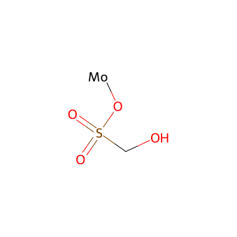 O=S(=O)(CO)[O][Mo]